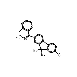 CCC1(CC)c2cc(Cl)ccc2-c2ccc(C(=NO)c3ccccc3C)cc21